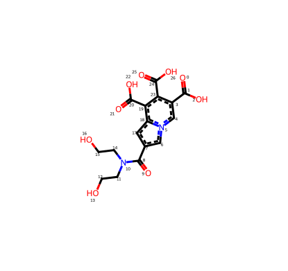 O=C(O)c1cn2cc(C(=O)N(CCO)CCO)[c]c2c(C(=O)O)c1C(=O)O